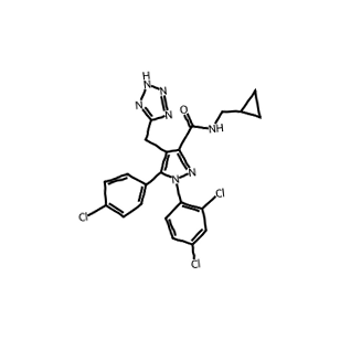 O=C(NCC1CC1)c1nn(-c2ccc(Cl)cc2Cl)c(-c2ccc(Cl)cc2)c1Cc1nn[nH]n1